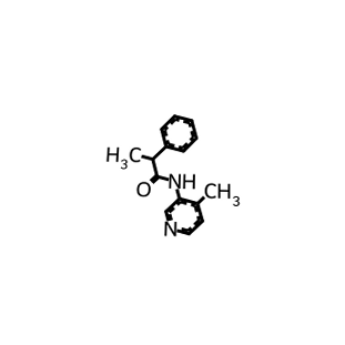 Cc1ccncc1NC(=O)C(C)c1ccccc1